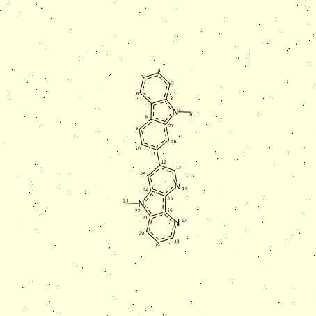 Cn1c2ccccc2c2ccc(-c3cnc4c5ncccc5n(C)c4c3)cc21